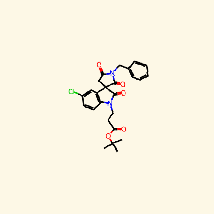 CC(C)(C)OC(=O)CCN1C(=O)C2(CC(=O)N(Cc3ccccc3)C2=O)c2cc(Cl)ccc21